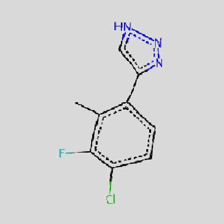 Cc1c(-c2c[nH]nn2)ccc(Cl)c1F